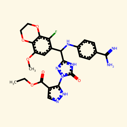 CCOC(=O)c1cn[nH]c1-n1nc(C(Nc2ccc(C(=N)N)cc2)c2cc(OC)c3c(c2F)OCCO3)[nH]c1=O